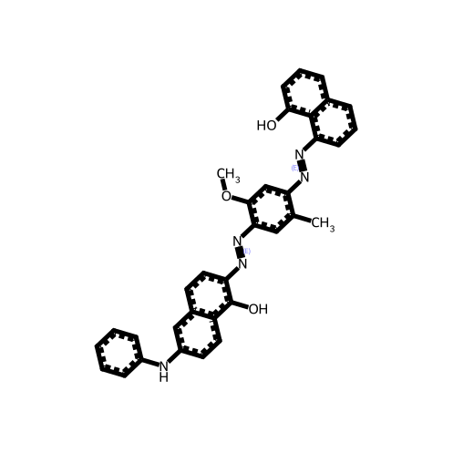 COc1cc(/N=N/c2cccc3cccc(O)c23)c(C)cc1/N=N/c1ccc2cc(Nc3ccccc3)ccc2c1O